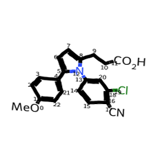 COc1ccc(-c2ccc(CCC(=O)O)n2-c2ccc(C#N)c(Cl)c2)cc1